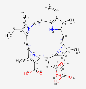 C=CC1=C2/C=C3N=C(/C=c4\[nH]/c(c(C(=O)O)c4C)=C(/CC(=O)O)C4=N/C(=C\C(N2)C1C)[C@@H](C)[C@@H]4CCC(=O)O)C(CC)=C\3C